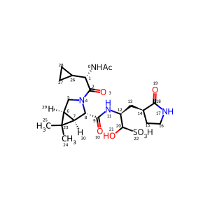 CC(=O)N[C@H](C(=O)N1C[C@H]2[C@@H]([C@H]1C(=O)N[C@@H](C[C@@H]1CCNC1=O)C(O)S(=O)(=O)O)C2(C)C)C1CC1